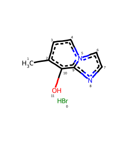 Br.Cc1ccn2ccnc2c1O